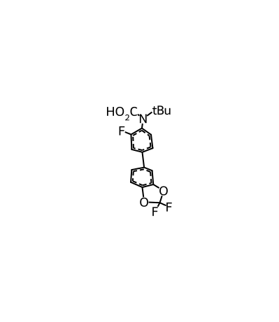 CC(C)(C)N(C(=O)O)c1ccc(-c2ccc3c(c2)OC(F)(F)O3)cc1F